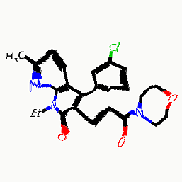 CCn1c(=O)c(CCC(=O)N2CCOCC2)c(-c2cccc(Cl)c2)c2ccc(C)nc21